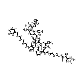 CC(C)C[C@H](NC(=O)[C@@H]1CCCN1C(=O)CCOCCOCCNC(=O)[C@@H](N)CS)C(=O)N[C@@H](Cc1cncn1CCCCCCCCc1ccccc1)C(=O)N[C@@H](CO)C(=O)N[C@H](C(N)=O)[C@@H](C)OP(=O)(O)O